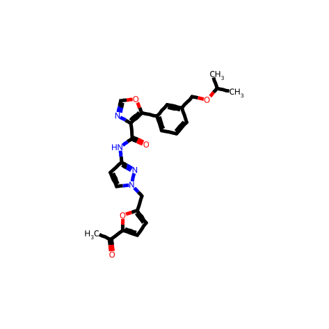 CC(=O)c1ccc(Cn2ccc(NC(=O)c3ncoc3-c3cccc(COC(C)C)c3)n2)o1